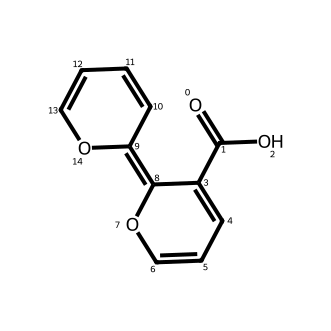 O=C(O)C1=CC=COC1=C1C=CC=CO1